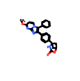 COc1ccn2c(-c3ccccc3)c(-c3ccc(C45CC(C4)OC(=O)N5)cc3)nc2n1